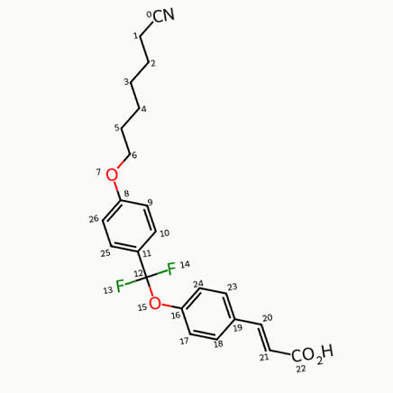 N#CCCCCCCOc1ccc(C(F)(F)Oc2ccc(C=CC(=O)O)cc2)cc1